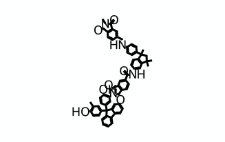 Cc1cc(C2(c3ccc(O)c(N4C(=O)c5ccc(C(=O)Nc6ccc7c(c6)C(C)(C)CC7(C)c6ccc(NCc7ccc8c(c7)C(=O)N(C)C8=O)cc6)cc5C4=O)c3)c3ccccc3-c3ccccc32)ccc1O